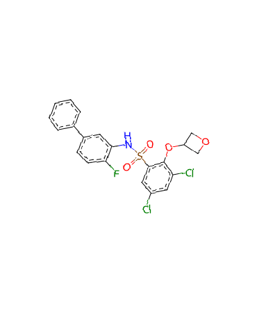 O=S(=O)(Nc1cc(-c2ccccc2)ccc1F)c1cc(Cl)cc(Cl)c1OC1COC1